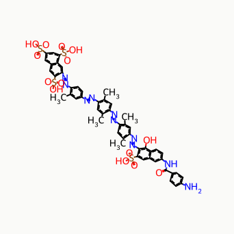 Cc1cc(N=Nc2cc(C)c(N=Nc3c(S(=O)(=O)O)cc4cc(NC(=O)c5ccc(N)cc5)ccc4c3O)cc2C)c(C)cc1N=Nc1ccc(N=Nc2cc3c(S(=O)(=O)O)cc(S(=O)(=O)O)cc3cc2S(=O)(=O)O)c(C)c1